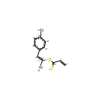 C=CC(=S)S/C(=C\c1ccc(CC)cc1)C(C)=O